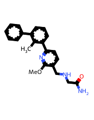 COc1nc(-c2cccc(-c3ccccc3)c2C)ccc1CNCC(N)=O